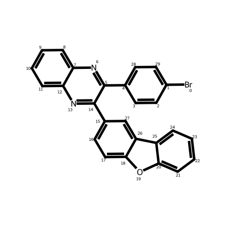 Brc1ccc(-c2nc3ccccc3nc2-c2ccc3oc4ccccc4c3c2)cc1